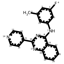 Cc1cc(F)cc(Nc2nc(-c3ccncc3)nc3ccccc23)c1